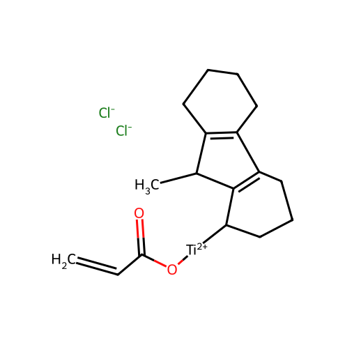 C=CC(=O)[O][Ti+2][CH]1CCCC2=C1C(C)C1=C2CCCC1.[Cl-].[Cl-]